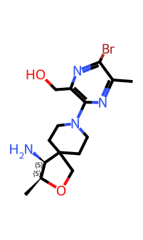 Cc1nc(N2CCC3(CC2)CO[C@@H](C)[C@H]3N)c(CO)nc1Br